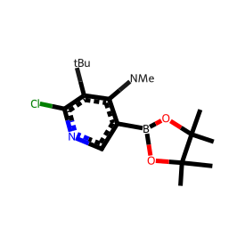 CNc1c(B2OC(C)(C)C(C)(C)O2)cnc(Cl)c1C(C)(C)C